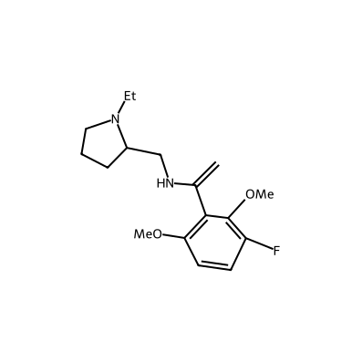 C=C(NCC1CCCN1CC)c1c(OC)ccc(F)c1OC